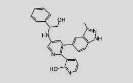 Cc1n[nH]c2ccc(-c3cc(NC(CO)c4ccccc4)cnc3-c3cccnc3O)cc12